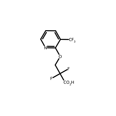 O=C(O)C(F)(F)COc1ncccc1C(F)(F)F